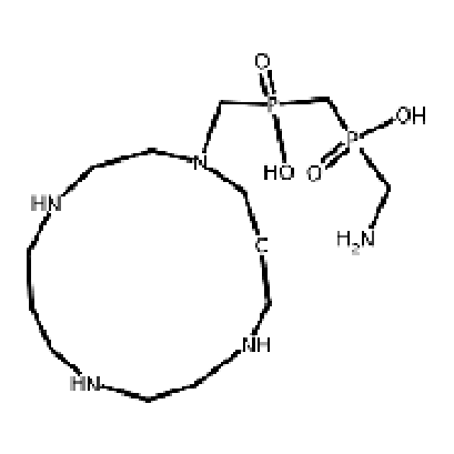 NCP(=O)(O)CP(=O)(O)CN1CCCNCCNCCCNCC1